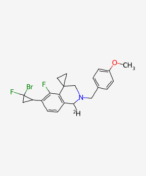 [2H]C1c2ccc(C3CC3(F)Br)c(F)c2C2(CC2)CN1Cc1ccc(OC)cc1